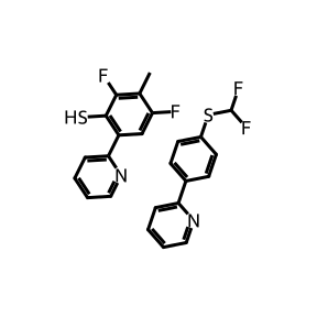 Cc1c(F)cc(-c2ccccn2)c(S)c1F.FC(F)Sc1ccc(-c2ccccn2)cc1